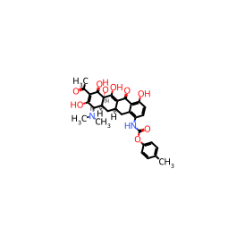 CC(=O)C1=C(O)[C@@H](N(C)C)[C@@H]2C[C@@H]3Cc4c(NC(=O)Oc5ccc(C)cc5)ccc(O)c4C(=O)C3=C(O)[C@]2(O)C1=O